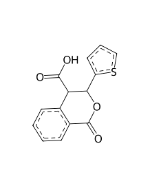 O=C1OC(c2cccs2)C(C(=O)O)c2ccccc21